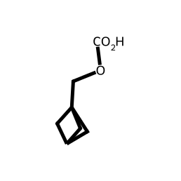 O=C(O)OCC12CC(C1)C2